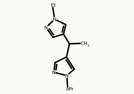 CCCn1cc([C](C)c2cnn(CC)c2)cn1